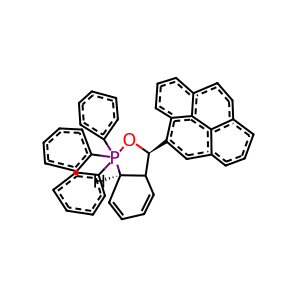 C1=CC2[C@@H](C=C1)P(c1ccccc1)(c1ccccc1)(c1ccccc1)O[C@H]2c1cc2cccc3ccc4cccc1c4c32